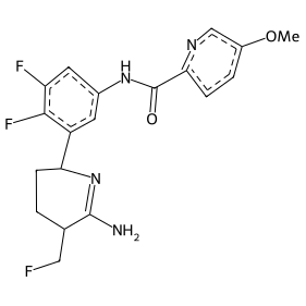 COc1ccc(C(=O)Nc2cc(F)c(F)c(C3CCC(CF)C(N)=N3)c2)nc1